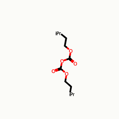 CC(C)CCOC(=O)OC(=O)OCCC(C)C